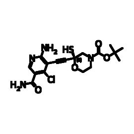 CC(C)(C)OC(=O)N1CCO[C@](S)(C#Cc2c(N)ncc(C(N)=O)c2Cl)C1